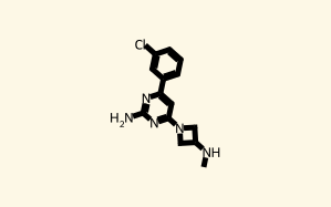 CNC1CN(c2cc(-c3cccc(Cl)c3)nc(N)n2)C1